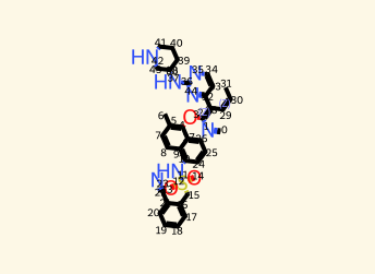 C=N/C(Oc1c(C)ccc2c(NS(=O)(=O)Cc3ccccc3C#N)cccc12)=C(\C=C/C)c1ccnc(N[C@H]2CCCNC2)n1